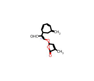 C=C1C=CC=CC(/C(C=O)=C\OC2C=C(C)C(=O)O2)C1